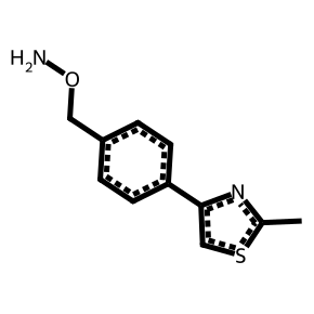 Cc1nc(-c2ccc(CON)cc2)cs1